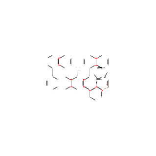 c1ccc(-c2cccc3cccc(-c4ccccc4N(c4cccc(-c5cccc6sc7ccccc7c56)c4)c4ccccc4-c4cccc5cccc(-c6ccccc6)c45)c23)cc1